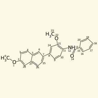 COc1ccc2cc(-c3ccc(NC(=O)c4ccccc4)c(OC)c3)ccc2c1